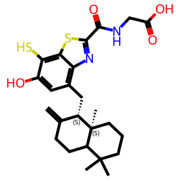 C=C1CCC2C(C)(C)CCC[C@]2(C)[C@H]1Cc1cc(O)c(S)c2sc(C(=O)NCC(=O)O)nc12